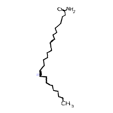 CCCCCCCC/C=C\CCCCCCCCCCCCCC(N)=O